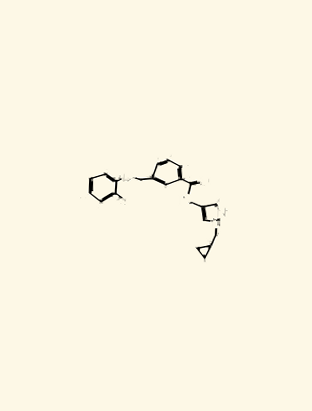 O=C(Nc1cnn(CC2CC2)c1)c1cccc(COc2ccccc2Cl)c1